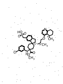 COC(=O)C1(Nc2cccc(Cl)c2)CCC2(CC1)c1cc(CS(=O)(=O)O)ccc1C[C@@H]2C[C@@H](C)COc1ccnc2c1[C@H](C)CCC2